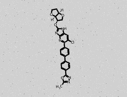 Cc1nnc(-c2ccc(-c3ccc(-c4nc5nc(O[C@@H]6CO[C@@H]7CCO[C@@H]76)[nH]c5cc4Cl)cc3)cc2)o1